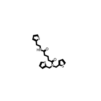 O=C(CCCC(=O)N(Cc1cccs1)Cc1cccs1)NCCc1cccs1